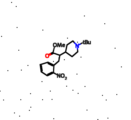 COC(=O)C(Cc1ccccc1[N+](=O)[O-])C1CCN(C(C)(C)C)CC1